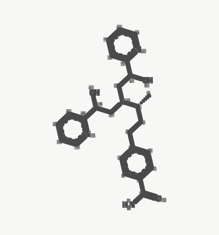 C[C@H](CCc1ccc(C(N)=O)cc1)N(CC(O)c1ccccn1)CC(O)c1ccccn1